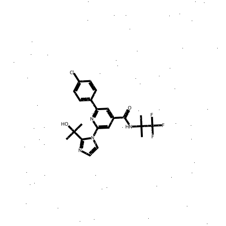 CC(C)(O)c1nccn1-c1cc(C(=O)NC(C)(C)C(F)(F)F)cc(-c2ccc(Cl)cc2)n1